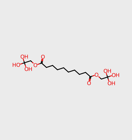 O=C(CCCCCCCCC(=O)OCC(O)(O)O)OCC(O)(O)O